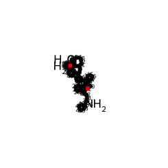 C=C1/C2=C(\C=C/N(c3cccc(-n4c5ccccc5c5ccc6c(c7ccccc7n6C/C=C\C=C(/N)c6ccccc6)c54)c3)c3ccccc31)C/C=C\C=C/C(=C)N2c1ccccc1